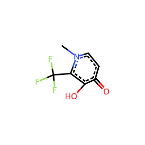 Cn1ccc(=O)c(O)c1C(F)(F)F